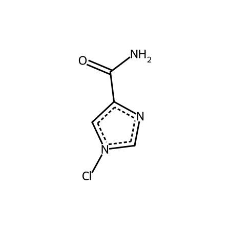 NC(=O)c1cn(Cl)cn1